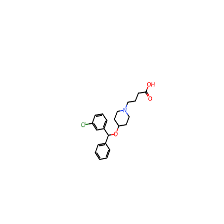 O=C(O)CCCN1CCC(OC(c2ccccc2)c2cccc(Cl)c2)CC1